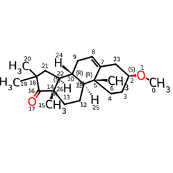 CO[C@H]1CC[C@@]2(C)C(=CC[C@@H]3[C@@H]2CC[C@]2(C)C(=O)C(C)(C)C[C@@H]32)C1